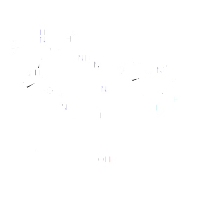 C#Cc1cccc2cc(O)cc(-c3nc4c5c(nc(OC[C@@]67CCN6CC(F)(F)C7)nc5c3F)NC[C@H]3C[C@@H]([C@H](CC)N3)[C@H](C)O4)c12